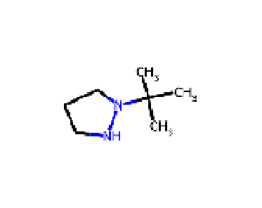 CC(C)(C)N1CCCN1